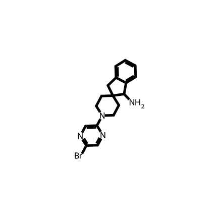 NC1c2ccccc2CC12CCN(c1cnc(Br)cn1)CC2